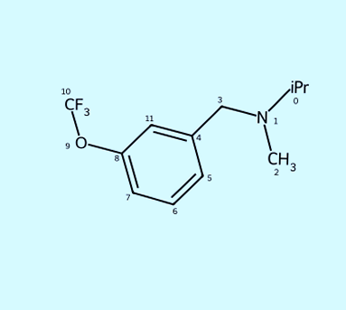 CC(C)N(C)Cc1cccc(OC(F)(F)F)c1